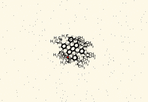 CC[SiH](CC)c1cc(N(c2cc(C)cc(C)c2)c2c3ccc(C(C)(C)C)cc3c(N(c3cc([SiH](CC)CC)cc([SiH](CC)CC)c3)c3cc([Si](CC)(CC)CC)cc([Si](CC)(CC)CC)c3)c3ccc(C(C)(C)C)cc23)cc([SiH](CC)CC)c1